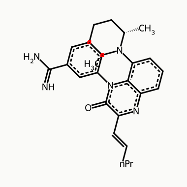 CCC/C=C/c1nc2cccc(N3[C@H](C)CCC[C@@H]3C)c2n(-c2cccc(C(=N)N)c2)c1=O